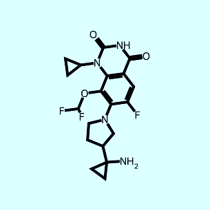 NC1(C2CCN(c3c(F)cc4c(=O)[nH]c(=O)n(C5CC5)c4c3OC(F)F)C2)CC1